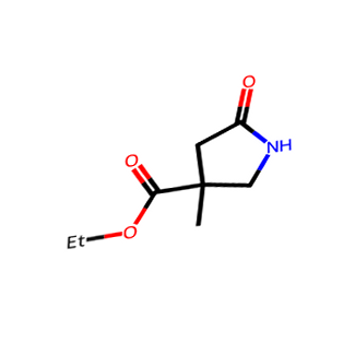 CCOC(=O)C1(C)CNC(=O)C1